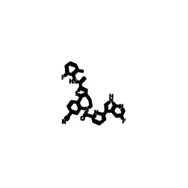 C=C(Nc1c(C)cccc1F)c1cc2c(s1)-c1ccc(C#N)cc1N(C(=O)c1cccc(-c3c[nH]c4ncc(F)cc34)n1)CC2